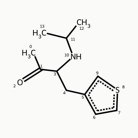 CC(=O)C(Cc1ccsc1)NC(C)C